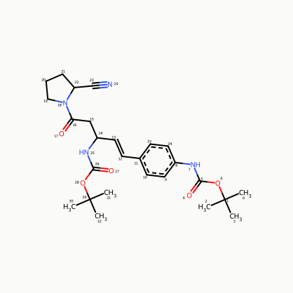 CC(C)(C)OC(=O)Nc1ccc(/C=C/C(CC(=O)N2CCCC2C#N)NC(=O)OC(C)(C)C)cc1